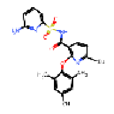 Cc1cc(C#N)cc(C)c1Oc1nc(C(C)(C)C)ccc1C(=O)NS(=O)(=O)c1cccc(N)n1